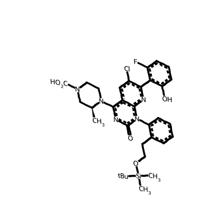 C[C@H]1CN(C(=O)O)CCN1c1nc(=O)n(-c2ccccc2CCO[Si](C)(C)C(C)(C)C)c2nc(-c3c(O)cccc3F)c(Cl)cc12